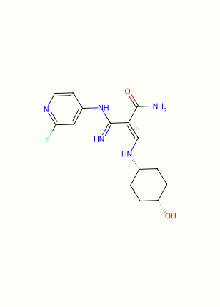 N=C(Nc1ccnc(F)c1)/C(=C\N[C@H]1CC[C@@H](O)CC1)C(N)=O